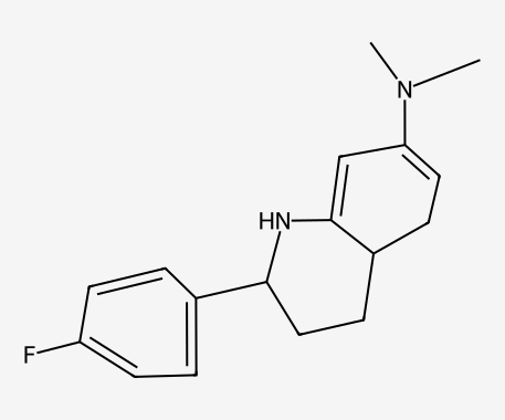 CN(C)C1=CCC2CCC(c3ccc(F)cc3)NC2=C1